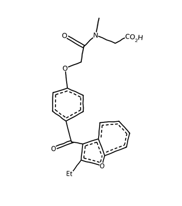 CCc1oc2ccccc2c1C(=O)c1ccc(OCC(=O)N(C)CC(=O)O)cc1